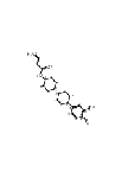 C=CCC(=O)OC1CCC([C@H]2CC[C@H](c3ccc(F)c(F)c3)CC2)CC1